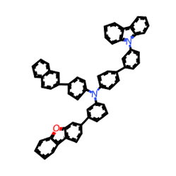 c1cc(-c2ccc3c(c2)oc2ccccc23)cc(N(c2ccc(-c3cccc(-n4c5ccccc5c5ccccc54)c3)cc2)c2ccc(-c3ccc4ccccc4c3)cc2)c1